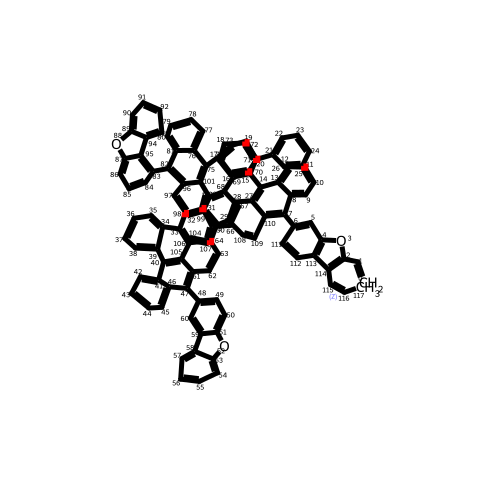 C=Cc1oc2cc(-c3c4ccccc4c(-c4ccccc4-c4ccccc4)c4cc(-c5ccc(-c6ccccc6-c6c7ccccc7c(-c7ccc8oc9ccccc9c8c7)c7ccc(-c8ccc(-c9ccccc9-c9c%10ccccc%10c(-c%10cccc%11oc%12ccccc%12c%10%11)c%10ccccc9%10)cc8)cc67)cc5)ccc34)ccc2c1/C=C\C